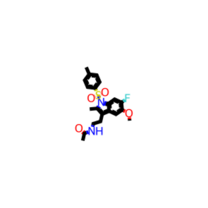 COc1cc2c(CCNC(C)=O)c(C)n(S(=O)(=O)c3ccc(C)cc3)c2cc1F